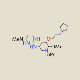 CCCN1CC(NC2NCCC(NC)N2)CC(OCCCN2CCCC2)C1OC